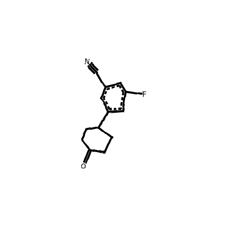 N#Cc1cc(F)cc(C2CCC(=O)CC2)c1